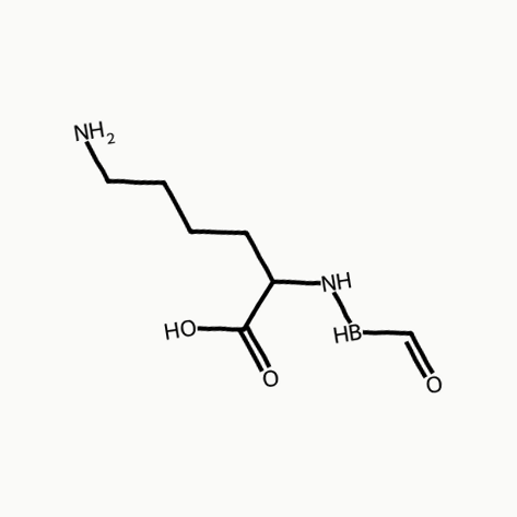 NCCCCC(NBC=O)C(=O)O